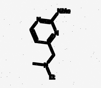 CCN(C)Cc1ccnc(NC)n1